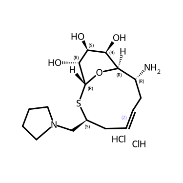 Cl.Cl.N[C@@H]1C/C=C\C[C@@H](CN2CCCC2)S[C@H]2O[C@H]1[C@H](O)[C@H](O)[C@H]2O